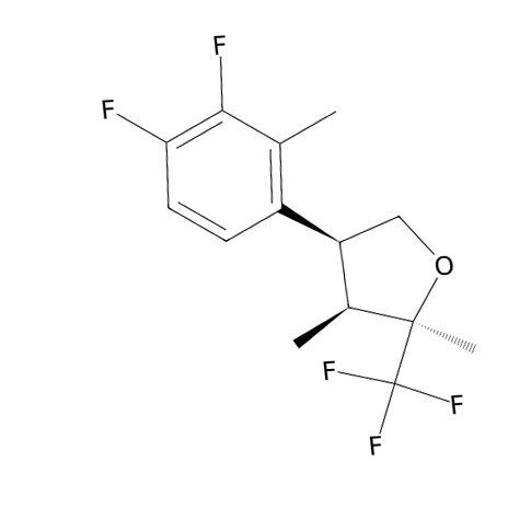 Cc1c([C@H]2CO[C@@](C)(C(F)(F)F)[C@H]2C)ccc(F)c1F